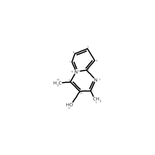 Cc1nc2cccc[n+]2c(C)c1O